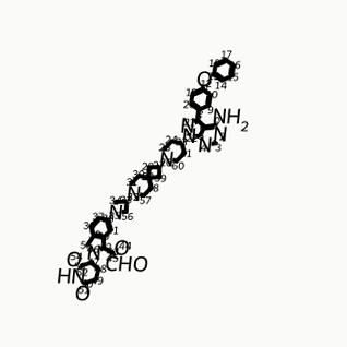 Nc1ncnc2c1c(-c1ccc(Oc3ccccc3)cc1)nn2C1CCN(C2CC3(CCN(C4CN(c5ccc6c(c5)C(C(=O)C=O)N(C5CCC(=O)NC5=O)C6)C4)CC3)C2)CC1